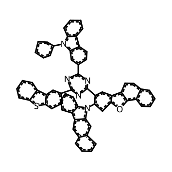 c1ccc(-n2c3ccccc3c3ccc(-c4nc(-c5ccc6sc7ccccc7c6c5)nc(-c5cc6c(cc5-n5c7ccccc7c7cc8ccccc8cc75)oc5c7ccccc7ccc65)n4)cc32)cc1